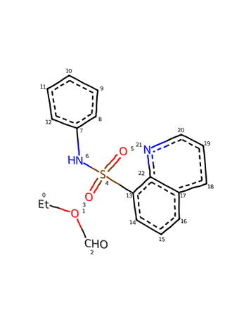 CCOC=O.O=S(=O)(Nc1ccccc1)c1cccc2cccnc12